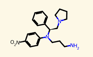 NCCCN(c1ccc([N+](=O)[O-])cc1)[C@H](CN1CCCC1)c1ccccc1